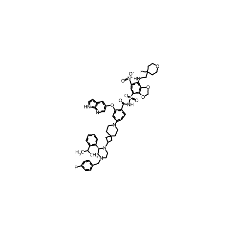 CC(C)c1ccccc1[C@@H]1CN(Cc2ccc(F)cc2)CCN1C1CC2(CCN(c3ccc(C(=O)NS(=O)(=O)c4cc([N+](=O)[O-])c(NCC5(F)CCOCC5)c5c4OCO5)c(Oc4cnc5[nH]ccc5c4)c3)CC2)C1